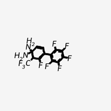 NC1(N)C=CC(c2c(F)c(F)c(F)c(F)c2F)=C(F)C1C(F)(F)F